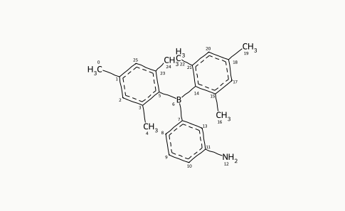 Cc1cc(C)c(B(c2cccc(N)c2)c2c(C)cc(C)cc2C)c(C)c1